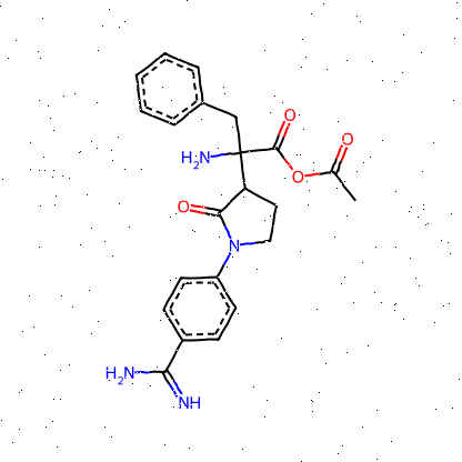 CC(=O)OC(=O)C(N)(Cc1ccccc1)C1CCN(c2ccc(C(=N)N)cc2)C1=O